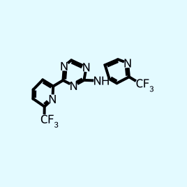 FC(F)(F)c1cc(Nc2ncnc(-c3cccc(C(F)(F)F)n3)n2)ccn1